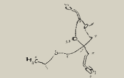 C=CC1(COCC)COC(=O)O1